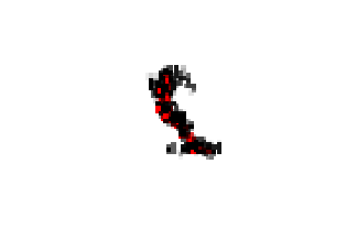 CC(C)S(=O)(=O)Nc1ccc(F)c(Oc2ccc3ncn([C@H]4COC5(CCN(C(=O)CN6CCC(c7ccc8c(C9CCC(=O)NC9=O)nn(C)c8c7)CC6)CC5)C4)c(=O)c3c2)c1C#N